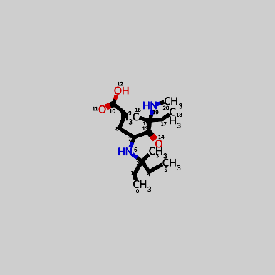 CCC(C)(CC)NC(CCC(=O)O)C(=O)C(C)(CC)NC